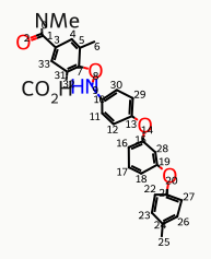 CNC(=O)c1cc(C)c(ONc2ccc(Oc3cccc(Oc4ccc(C)cc4)c3)cc2)c(C(=O)O)c1